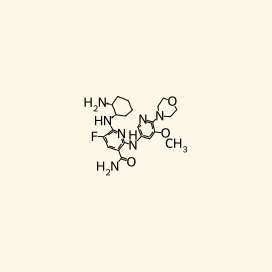 COc1cc(Nc2nc(N[C@@H]3CCCC[C@@H]3N)c(F)cc2C(N)=O)cnc1N1CCOCC1